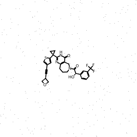 O=C([C@H](O)c1cccc(C(F)(F)F)c1)N1CCCc2nc(C3(c4cc(C#CC5COC5)cs4)CC3)[nH]c(=O)c2C1